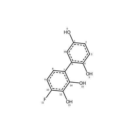 Oc1ccc(O)c(-c2ccc(F)c(O)c2O)c1